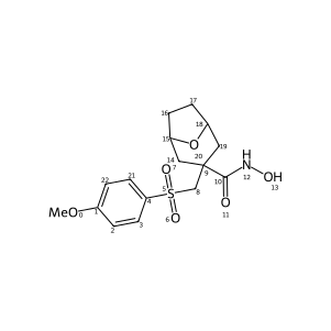 COc1ccc(S(=O)(=O)CC2(C(=O)NO)CC3CCC(C2)O3)cc1